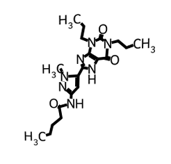 CCCCC(=O)Nc1cc(-c2nc3c([nH]2)c(=O)n(CCC)c(=O)n3CCC)n(C)n1